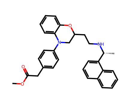 COC(=O)Cc1ccc(N2CC(CCN[C@H](C)c3cccc4ccccc34)Oc3ccccc32)cc1